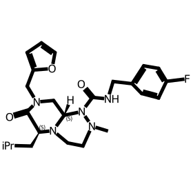 CC(C)C[C@H]1C(=O)N(Cc2ccco2)C[C@H]2N1CCN(C)N2C(=O)NCc1ccc(F)cc1